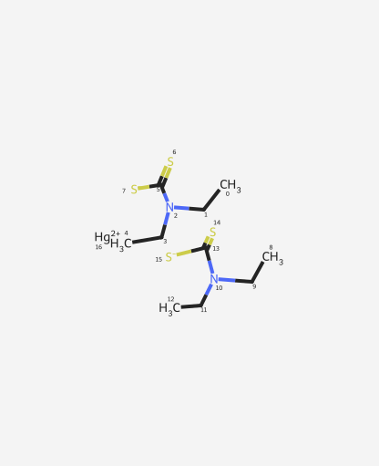 CCN(CC)C(=S)[S-].CCN(CC)C(=S)[S-].[Hg+2]